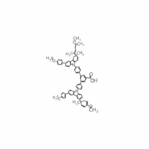 COC1=CCC(C)(c2ccc3c(c2)c2cc(-c4ccc(OC)cc4)ccc2n3-c2ccc(-c3cc(C(=O)O)cc(-c4ccc(-n5c6c(c7cc(-c8ccc(OC)cc8)ccc75)CC(C)(/C(C)=C/C=C(\C)OC)C=C6)cc4)c3)cc2)C=C1